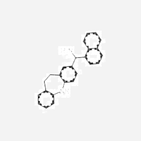 NC(c1ccc2c(c1)CCc1ccccc1N2)c1cccc2ccccc12